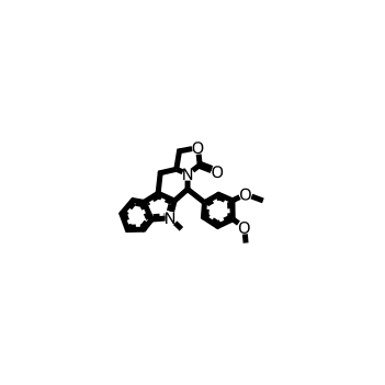 COc1ccc(C2c3c(c4ccccc4n3C)CC3COC(=O)N32)cc1OC